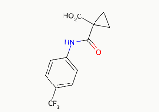 O=C(O)C1(C(=O)Nc2ccc(C(F)(F)F)cc2)CC1